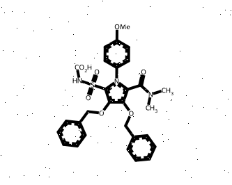 COc1ccc(-n2c(C(=O)N(C)C)c(OCc3ccccc3)c(OCc3ccccc3)c2S(=O)(=O)NC(=O)O)cc1